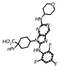 CCCC1(C(=O)O)CCC(n2c(Nc3c(F)cc(F)cc3F)nc3cnc(NC4CCOCC4)nc32)CC1